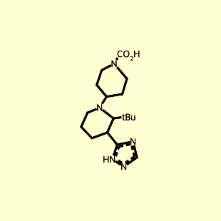 CC(C)(C)C1C(c2ncn[nH]2)CCCN1C1CCN(C(=O)O)CC1